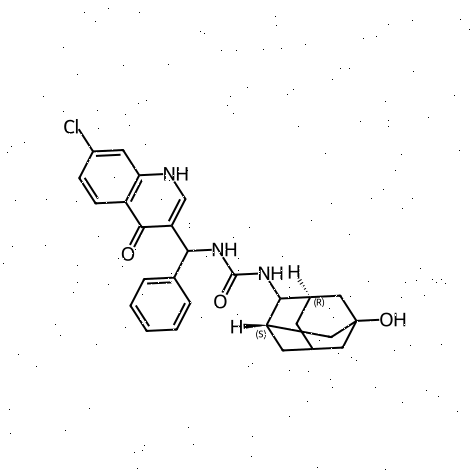 O=C(NC(c1ccccc1)c1c[nH]c2cc(Cl)ccc2c1=O)NC1[C@@H]2CC3C[C@H]1CC(O)(C3)C2